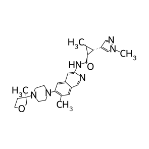 Cc1cc2cnc(NC(=O)[C@H]3[C@@H](C)[C@@H]3c3cnn(C)c3)cc2cc1N1CCN([C@]2(C)CCOC2)CC1